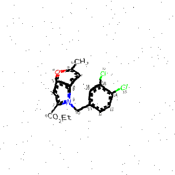 CCOC(=O)c1cc2oc(C)cc2n1Cc1ccc(Cl)c(Cl)c1